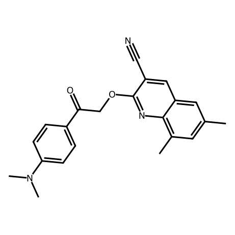 Cc1cc(C)c2nc(OCC(=O)c3ccc(N(C)C)cc3)c(C#N)cc2c1